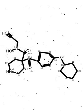 C#CCN(O)C(=O)C1(S(=O)(=O)c2ccc(SC3CCCCC3)cc2)CCNCC1